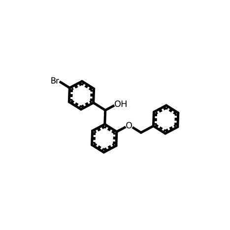 OC(c1ccc(Br)cc1)c1ccccc1OCc1ccccc1